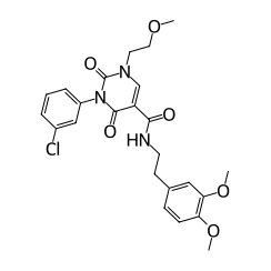 COCCn1cc(C(=O)NCCc2ccc(OC)c(OC)c2)c(=O)n(-c2cccc(Cl)c2)c1=O